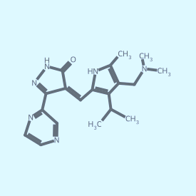 Cc1[nH]c(C=C2C(=O)NN=C2c2cnccn2)c(C(C)C)c1CN(C)C